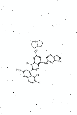 CCc1c(F)ccc2cc(O)cc(-c3ncc4c(Nc5ccc6cn[nH]c6c5)nc(OCC56CCCN5CCC6)nc4c3F)c12